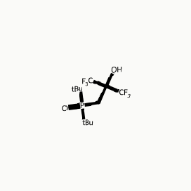 CC(C)(C)P(=O)(CC(O)(C(F)(F)F)C(F)(F)F)C(C)(C)C